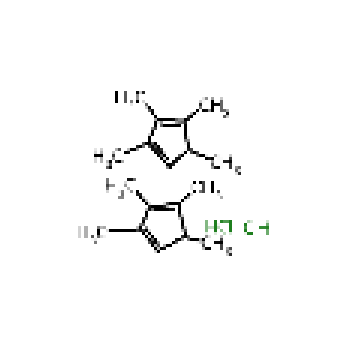 CC1=CC(C)C(C)=C1C.CC1=CC(C)C(C)=C1C.Cl.Cl